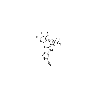 COc1c([C@@H]2C[C@](C)(C(F)(F)F)S[C@H]2C(=O)Nc2ccnc(C#N)c2)ccc(F)c1F